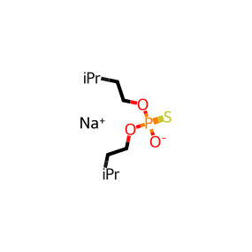 CC(C)CCOP([O-])(=S)OCCC(C)C.[Na+]